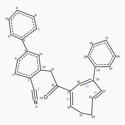 N#Cc1ccc(-c2ccccc2)cc1CC(=O)C1=C/CC/C=C/C(c2ccccc2)=C\1